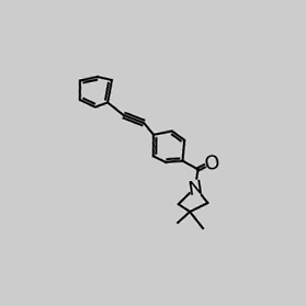 CC1(C)CN(C(=O)c2ccc(C#Cc3ccccc3)cc2)C1